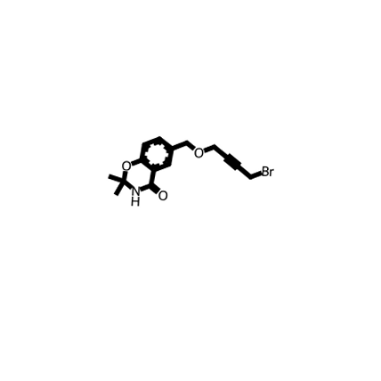 CC1(C)NC(=O)c2cc(COCC#CCBr)ccc2O1